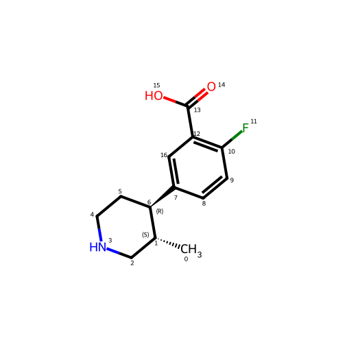 C[C@@H]1CNCC[C@H]1c1ccc(F)c(C(=O)O)c1